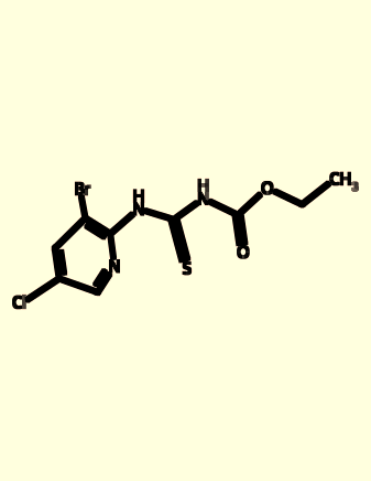 CCOC(=O)NC(=S)Nc1ncc(Cl)cc1Br